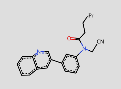 CC(C)CCC(=O)N(CC#N)c1cccc(-c2cnc3ccccc3c2)c1